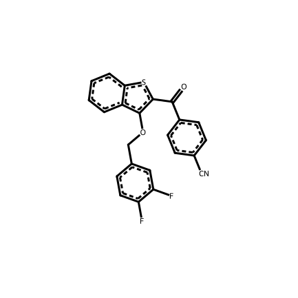 N#Cc1ccc(C(=O)c2sc3ccccc3c2OCc2ccc(F)c(F)c2)cc1